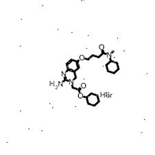 Br.CN(C(=O)CCCOc1ccc2c(c1)CN(CC(=O)OC1CCCCC1)C(N)=N2)C1CCCCC1